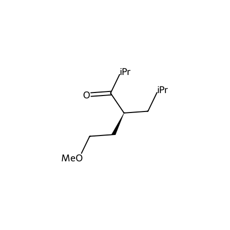 COCC[C@H](CC(C)C)C(=O)C(C)C